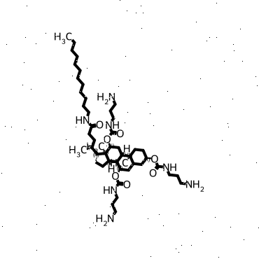 CCCCCCCCCCCCNC(=O)CC[C@@H](C)[C@H]1CC[C@H]2C3[C@H](OC(=O)NCCCN)CC4C[C@H](OC(=O)NCCCN)CC[C@]4(C)[C@H]3C[C@H](OC(=O)NCCCN)[C@]12C